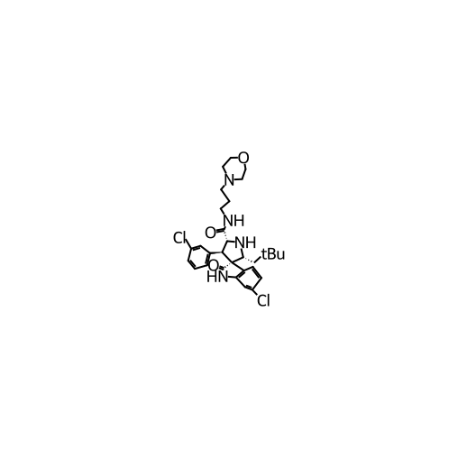 CC(C)(C)C[C@H]1N[C@@H](C(=O)NCCCN2CCOCC2)[C@H](c2cccc(Cl)c2)[C@@]12C(=O)Nc1cc(Cl)ccc12